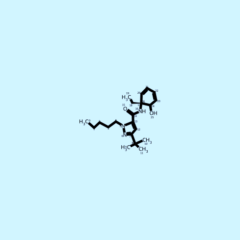 CCCCCn1nc(C(C)(C)C)cc1C(=O)N[C@]1(CC)C=CC=CC1O